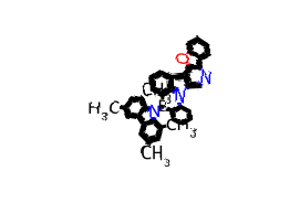 Cc1cc(C)c2c(c1)c1cc(C)cc(C)c1n2B1c2ccccc2-n2c3cnc4c5ccccc5oc4c3c3cccc1c32